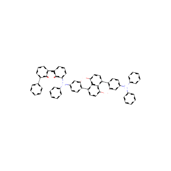 c1ccc(-c2cccc3c2oc2c(N(c4ccccc4)c4ccc5c(c4)Oc4ccc6c7c(ccc-5c47)Oc4cc(N(c5ccccc5)c5ccccc5)ccc4-6)cccc23)cc1